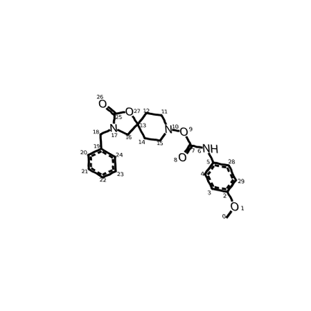 COc1ccc(NC(=O)ON2CCC3(CC2)CN(Cc2ccccc2)C(=O)O3)cc1